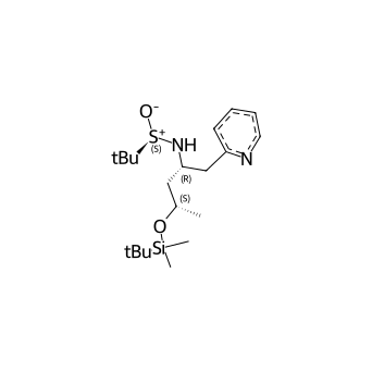 C[C@@H](C[C@@H](Cc1ccccn1)N[S@+]([O-])C(C)(C)C)O[Si](C)(C)C(C)(C)C